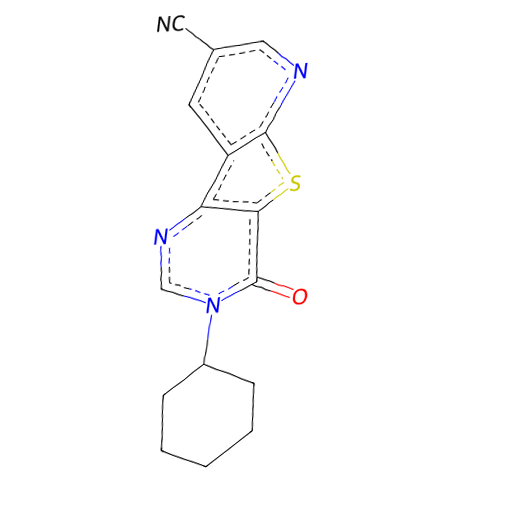 N#Cc1cnc2sc3c(=O)n(C4CCCCC4)cnc3c2c1